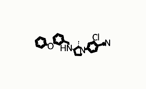 C[C@H]1[C@@H](NCc2cccc(Oc3ccccc3)c2)CCN1c1ccc(C#N)c(Cl)c1